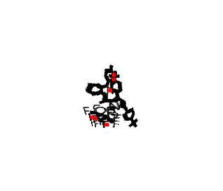 C/C(=C1/N=C(c2ccc(C)cc2)c2ccccc21)c1c(-c2ccc(C(C)(C)C)cc2)cc(-c2ccc(C(C)(C)C)cc2)n1B1OC(C(F)(F)F)(C(F)(F)F)C(C(F)(F)F)(C(F)(F)F)O1